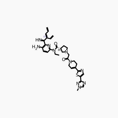 C=C/C=C(\C=C)C(=N)c1nc(N(CC)C(=O)[C@@H]2CCN(CC(=O)N3CC=C(c4ncc(-c5ncn(C)n5)s4)CC3)C2)ccc1N